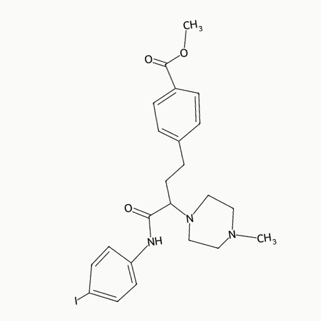 COC(=O)c1ccc(CCC(C(=O)Nc2ccc(I)cc2)N2CCN(C)CC2)cc1